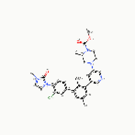 COc1c(-c2cncc(N3CCN(C(=O)OC(C)(C)C)[C@H](C)C3)c2)cc(C)cc1-c1ccc(-n2ccn(C)c2=O)c(Cl)c1